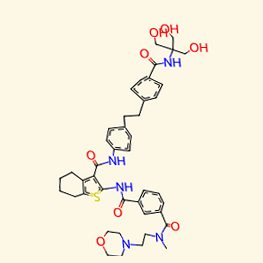 CN(CCN1CCOCC1)C(=O)c1cccc(C(=O)Nc2sc3c(c2C(=O)Nc2ccc(CCc4ccc(C(=O)NC(CO)(CO)CO)cc4)cc2)CCCC3)c1